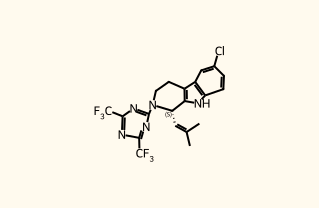 CC(C)=C[C@H]1c2[nH]c3ccc(Cl)cc3c2CCN1c1nc(C(F)(F)F)nc(C(F)(F)F)n1